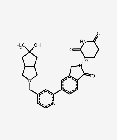 CC1(O)CC2CN(Cc3ccnc(-c4ccc5c(c4)CN([C@H]4CCC(=O)NC4=O)C5=O)c3)CC2C1